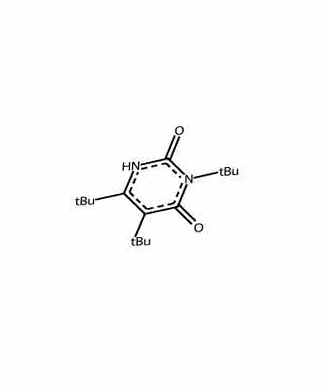 CC(C)(C)c1[nH]c(=O)n(C(C)(C)C)c(=O)c1C(C)(C)C